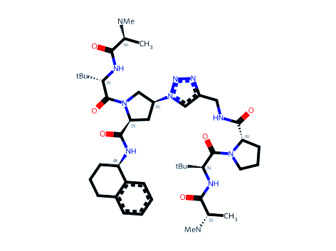 CN[C@@H](C)C(=O)N[C@H](C(=O)N1CCC[C@H]1C(=O)NCc1cn([C@H]2C[C@@H](C(=O)N[C@@H]3CCCc4ccccc43)N(C(=O)[C@@H](NC(=O)[C@H](C)NC)C(C)(C)C)C2)nn1)C(C)(C)C